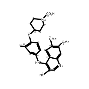 COc1cc2ncc(C#N)c(Nc3ccc(OC4CCN(C(=O)O)CC4)c(C)c3)c2cc1OC